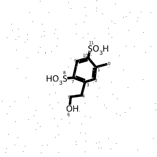 Cc1cc(CCO)c(S(=O)(=O)O)cc1S(=O)(=O)O